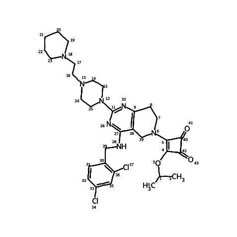 CC(C)Oc1c(N2CCc3nc(N4CCN(CCN5CCCCC5)CC4)nc(NCc4ccc(Cl)cc4Cl)c3C2)c(=O)c1=O